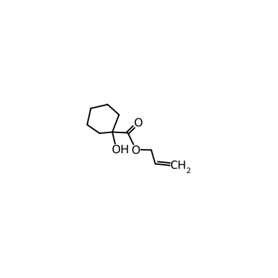 C=CCOC(=O)C1(O)CCCCC1